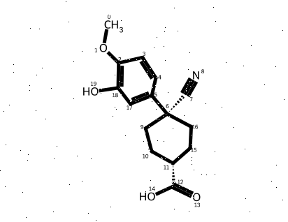 COc1ccc([C@]2(C#N)CC[C@@H](C(=O)O)CC2)cc1O